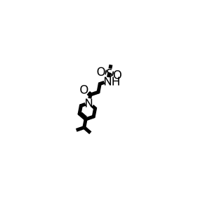 CC(C)C1=CCN(C(=O)CCNS(C)(=O)=O)CC1